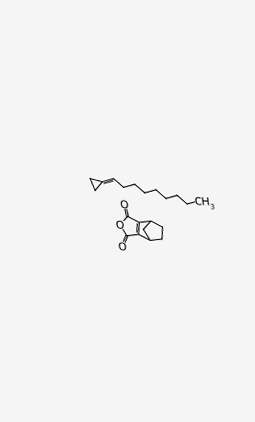 CCCCCCCCC=C1CC1.O=C1OC(=O)C2=C1C1CCC2C1